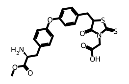 COC(=O)[C@@H](N)Cc1ccc(Oc2ccc(CC3SC(=S)N(CC(=O)O)C3=O)cc2)cc1